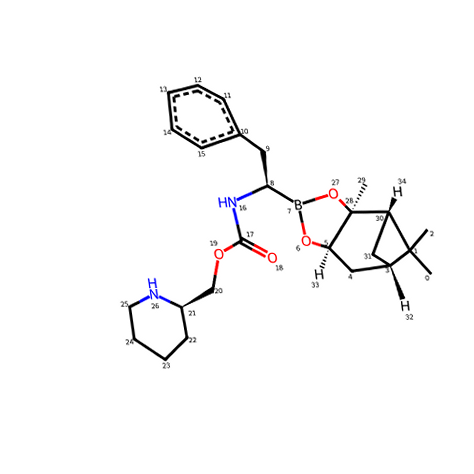 CC1(C)[C@@H]2C[C@H]3OB([C@H](Cc4ccccc4)NC(=O)OC[C@H]4CCCCN4)O[C@@]3(C)[C@H]1C2